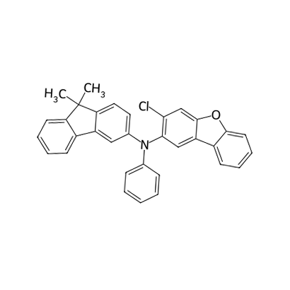 CC1(C)c2ccccc2-c2cc(N(c3ccccc3)c3cc4c(cc3Cl)oc3ccccc34)ccc21